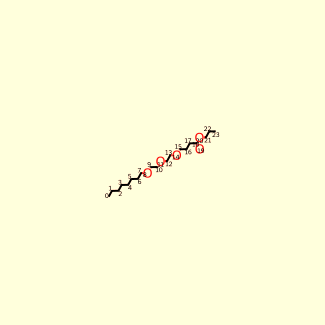 CCCCCCCCOCCOCCOCCCC(=O)OCCC